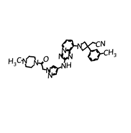 Cc1cccc(C2(CC#N)CN(c3cccn4nc(Nc5cnn(CC(=O)N6CCN(C)CC6)c5)nc34)C2)c1